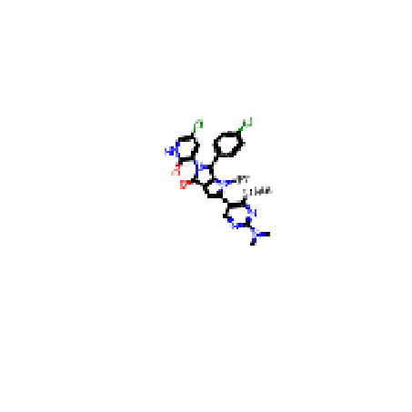 COc1nc(N(C)C)ncc1-c1cc2c(n1C(C)C)C(c1ccc(Cl)cc1)N(c1cc(Cl)c[nH]c1=O)C2=O